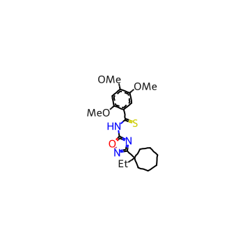 CCC1(c2noc(NC(=S)c3cc(OC)c(OC)cc3OC)n2)CCCCCC1